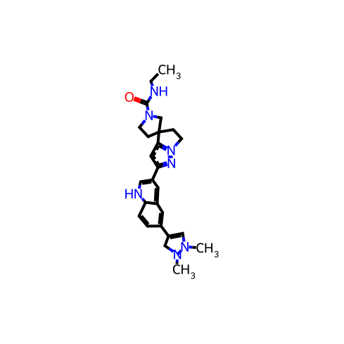 CCNC(=O)N1CCC2(CCn3nc(C4=CNC5C=CC(C6=CN(C)N(C)C6)=CC5=C4)cc32)C1